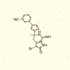 CC1(c2cc(-c3cccc(C#N)c3)cs2)Cc2c(Br)c(=O)[nH]n2C(=N)N1